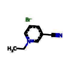 CC[n+]1cccc(C#N)c1.[Br-]